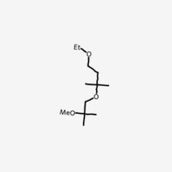 CCOCCC(C)(C)OCC(C)(C)OC